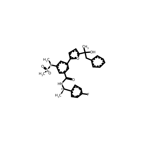 C[C@@H](NC(=O)c1cc(-c2ccc(C(C)(O)Cc3ccccc3)o2)cc(N(C)S(C)(=O)=O)c1)c1ccc(F)cc1